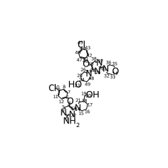 Nc1ncc(Oc2ccc(Cl)cc2)c(N2CCCC(CO)C2)n1.OC1CCN(c2nc(N3CCOCC3)ncc2Oc2ccc(Cl)cc2)CC1